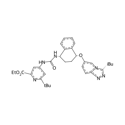 CCOC(=O)c1cc(NC(=O)N[C@H]2CC[C@@H](Oc3ccc4nnc([C@@H](C)CC)n4c3)c3ccccc32)cc(C(C)(C)C)n1